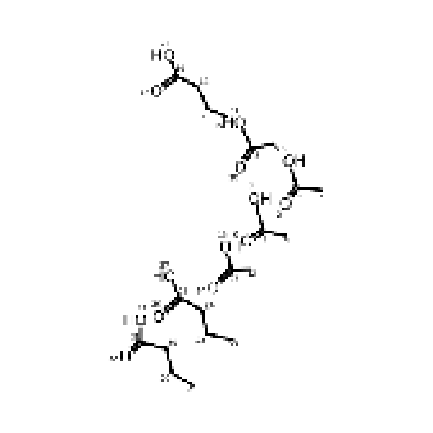 CC(=O)O.CC(=O)O.CC(=O)O.CC(=O)O.CCCC(=O)O.CCCC(=O)O.CCCC(=O)O